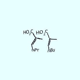 CCCC=C(C)C(=O)O.CCCCC=C(C)C(=O)O